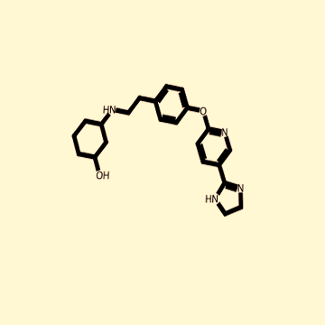 OC1CCCC(NCCc2ccc(Oc3ccc(C4=NCCN4)cn3)cc2)C1